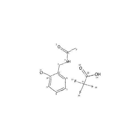 CC(=O)NCc1ccccc1Cl.O=C(O)C(F)(F)F